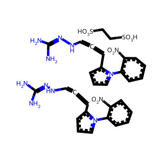 NC(N)=NNC=C=Cc1cccn1-c1ccccc1[N+](=O)[O-].NC(N)=NNC=C=Cc1cccn1-c1ccccc1[N+](=O)[O-].O=S(=O)(O)CCS(=O)(=O)O